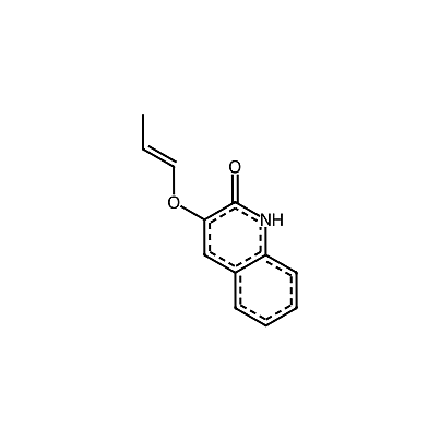 CC=COc1cc2ccccc2[nH]c1=O